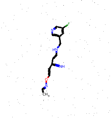 C/C=N/O/C=C/C(=N)/C=C/NCc1cncc(F)c1